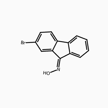 ON=C1c2ccccc2-c2ccc(Br)cc21